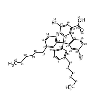 CCCCCCc1cccc(C2(c3cccc(CCCCCC)c3)c3cc(Br)ccc3-c3c(C(=O)O)cc(Br)cc32)c1